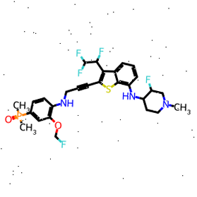 CN1CCC(Nc2cccc3c(C(F)C(F)F)c(C#CCNc4ccc(P(C)(C)=O)cc4OCF)sc23)C(F)C1